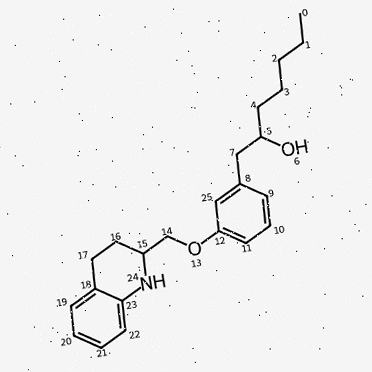 CCCCCC(O)Cc1cccc(OCC2CCc3ccccc3N2)c1